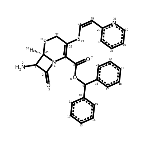 NC1C(=O)N2C(C(=O)OC(c3ccccc3)c3ccccc3)=C(S/C=C\c3ccccn3)CS[C@H]12